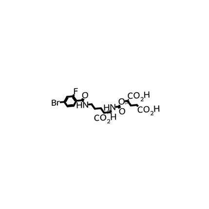 O=C(O)CC[C@H](OC(=O)N[C@@H](CCCCNC(=O)c1ccc(Br)cc1F)C(=O)O)C(=O)O